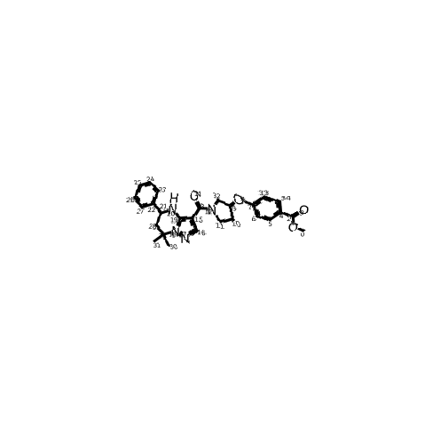 COC(=O)c1ccc(OC2CCN(C(=O)c3cnn4c3NC(c3ccccc3)CC4(C)C)C2)cc1